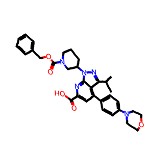 CC(C)c1nn(C2CCCN(C(=O)OCc3ccccc3)C2)c2nc(C(=O)O)cc(-c3ccc(N4CCOCC4)cc3)c12